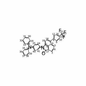 O=C1c2cccc3c(-c4ccc(C(F)(F)F)cc4)ccc(c23)N1c1ccc(N(c2ccccc2)c2ccccc2)cc1